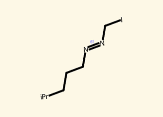 CC(C)CCC/N=N/CI